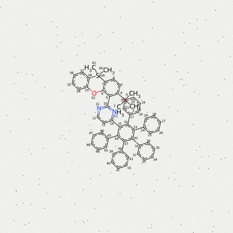 CC(C)(C)c1ccc2c(c1-c1nccc(-c3c(-c4ccccc4)c(-c4ccccc4)c(-c4ccccc4)c(-c4ccccc4)c3-c3ccccc3)n1)Oc1ccccc1[Si]2(C)C